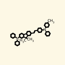 Cc1ccc(N(c2ccccc2)c2ccc(/C=C/c3ccc4c(c3)C(C)(C)c3cc(N(c5ccccc5)c5ccccc5)ccc3-4)cc2)cc1